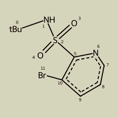 CC(C)(C)NS(=O)(=O)c1ncccc1Br